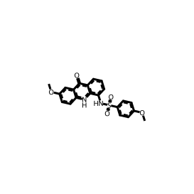 COc1ccc(S(=O)(=O)Nc2cccc3c(=O)c4cc(OC)ccc4[nH]c23)cc1